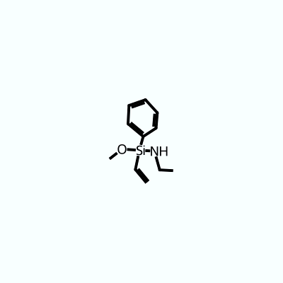 C=C[Si](NCC)(OC)c1ccccc1